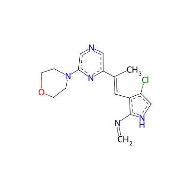 C=Nc1[nH]cc(Cl)c1/C=C(\C)c1cncc(N2CCOCC2)n1